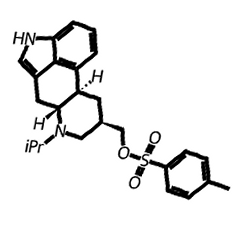 Cc1ccc(S(=O)(=O)OC[C@@H]2C[C@@H]3c4cccc5[nH]cc(c45)C[C@H]3N(C(C)C)C2)cc1